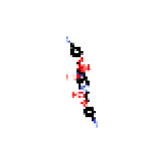 N#Cc1ccc(OCC(O)CN2CC3CN(CC(O)COc4ccc(C#N)cc4)CC(C2)C3C(O)CO)cc1